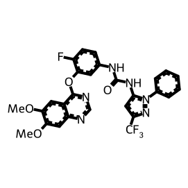 COc1cc2ncnc(Oc3cc(NC(=O)Nc4cc(C(F)(F)F)nn4-c4ccccc4)ccc3F)c2cc1OC